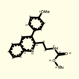 COc1ccc(-c2cc3ccccc3nc2CCNC(=O)OC(C)(C)C)cc1